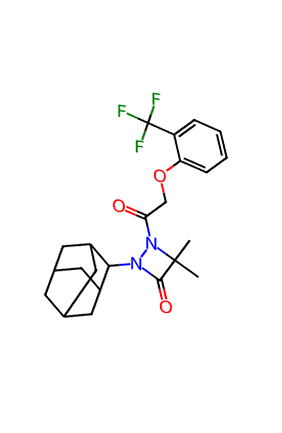 CC1(C)C(=O)N(C2C3CC4CC(C3)CC2C4)N1C(=O)COc1ccccc1C(F)(F)F